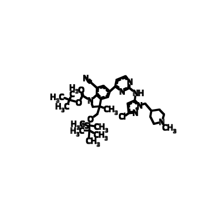 CN1CCC(Cn2nc(Cl)cc2Nc2nccc(-c3cc(C#N)c4c(c3)C(C)(CO[Si](C)(C)C(C)(C)C)CN4C(=O)OC(C)(C)C)n2)CC1